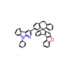 C1=Cc2ccc(-c3cnc4c(c3)c3ccccc3n4-c3ccccc3)cc2C2(c3ccccc31)c1ccccc1-c1c2ccc2oc3ccccc3c12